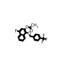 CC(=O)Oc1cc(F)c2ccccc2c1OCc1ccc(C(F)(F)F)cc1